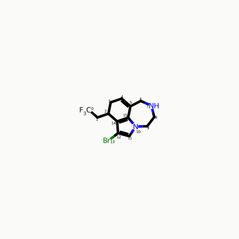 FC(F)(F)CC1CC=C2CNCCn3cc(Br)c1c32